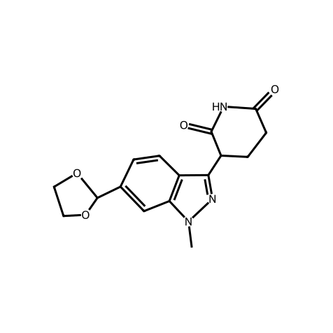 Cn1nc(C2CCC(=O)NC2=O)c2ccc(C3OCCO3)cc21